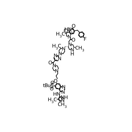 Cc1n[nH]c(Nc2ncnc3cc(OCCCN4CCN(C(=O)c5cnc(N6CCN(C[C@H]7CN[C@H](C)CN7CC(=O)N7CC(C)(C)c8[nH]c(=O)c(Cc9ccc(F)cc9)cc87)[C@H](C)C6)nc5)CC4)c(S(=O)(=O)C(C)(C)C)cc23)c1C